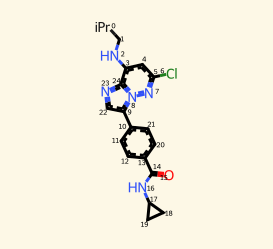 CC(C)CNc1cc(Cl)nn2c(-c3ccc(C(=O)NC4CC4)cc3)cnc12